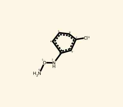 NONc1cccc(Cl)c1